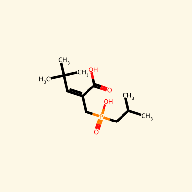 CC(C)CP(=O)(O)CC(=CC(C)(C)C)C(=O)O